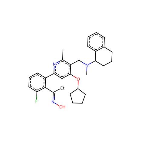 CC/C(=N\O)c1c(F)cccc1-c1cc(OC2CCCC2)c(CN(C)C2CCCc3ccccc32)c(C)n1